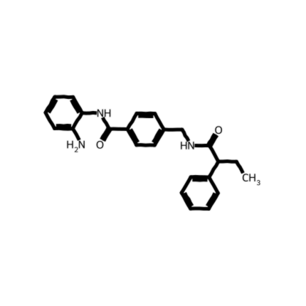 CCC(C(=O)NCc1ccc(C(=O)Nc2ccccc2N)cc1)c1ccccc1